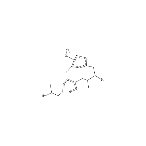 CCC(Cc1ccc(OC(F)(F)F)c(F)c1)C(C)Cc1ccc(CC(C)C(C)C)nc1